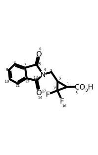 O=C(O)C1C(CN2C(=O)c3ccccc3C2=O)C1(F)F